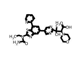 CCN(C(N)=O)c1nc2cc(-c3cnc(C(C)(C)C(C(=O)O)N4CCOCC4)nc3)cc(-c3ccccn3)c2s1